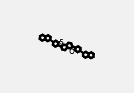 c1ccc2cc(-c3ccc4c(c3)oc3c4ccc4c3ccc3c5ccc(-c6ccc7ccccc7c6)cc5sc34)ccc2c1